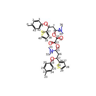 Cc1ccc(OC(CC(OC(=O)C(=O)OC(CC(Oc2ccc(C)cc2)c2cccs2)N(C)C)N(C)C)c2cccs2)cc1